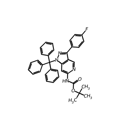 CC(C)(C)OC(=O)Nc1cc2c(cn1)c(-c1ccc(F)cc1)nn2C(c1ccccc1)(c1ccccc1)c1ccccc1